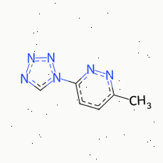 Cc1ccc(-n2cnnn2)nn1